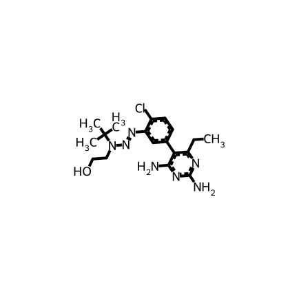 CCc1nc(N)nc(N)c1-c1ccc(Cl)c(N=NN(CCO)C(C)(C)C)c1